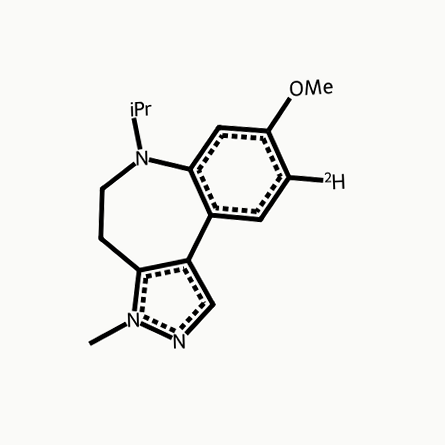 [2H]c1cc2c(cc1OC)N(C(C)C)CCc1c-2cnn1C